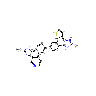 Cc1nc2c3cnccc3c3cc(-c4ccc5c(c4)c4sccc4c4nc(C)[nH]c54)ccc3c2[nH]1